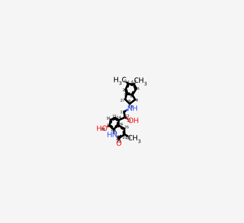 Cc1cc2c(cc1C)CC(NCC(O)c1ccc(O)c3[nH]c(=O)c(C)cc13)C2